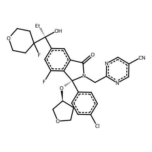 CC[C@](O)(c1cc(F)c2c(c1)C(=O)N(Cc1ncc(C#N)cn1)[C@@]2(O[C@H]1CCOC1)c1ccc(Cl)cc1)C1(F)CCOCC1